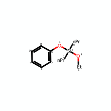 CCC[Si](CCC)(OCC)Oc1ccccc1